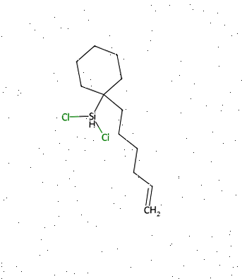 C=CCCCCC1([SiH](Cl)Cl)CCCCC1